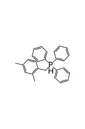 Cc1ccc(C[PH](c2ccccc2)(c2ccccc2)c2ccccc2)c(C)c1